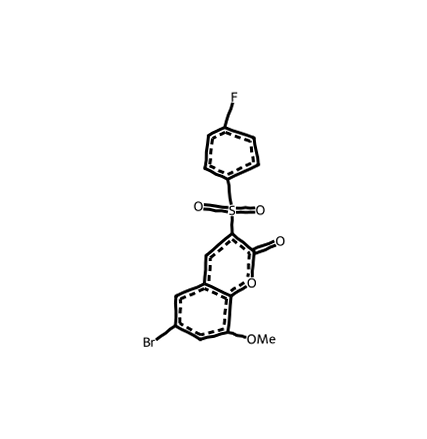 COc1cc(Br)cc2cc(S(=O)(=O)c3ccc(F)cc3)c(=O)oc12